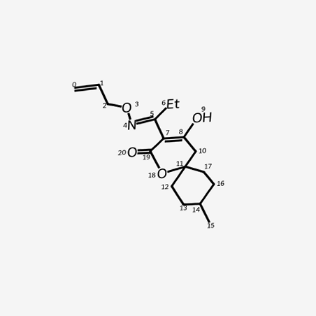 C=CCON=C(CC)C1=C(O)CC2(CCC(C)CC2)OC1=O